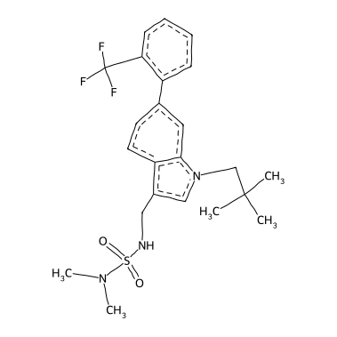 CN(C)S(=O)(=O)NCc1cn(CC(C)(C)C)c2cc(-c3ccccc3C(F)(F)F)ccc12